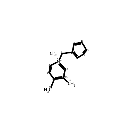 Cc1cc[n+](Cc2ccccc2)cc1C.[Cl-]